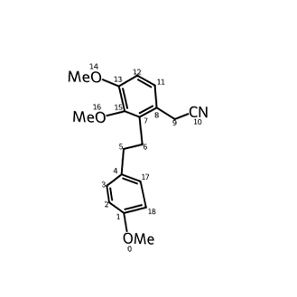 COc1ccc(CCc2c(CC#N)ccc(OC)c2OC)cc1